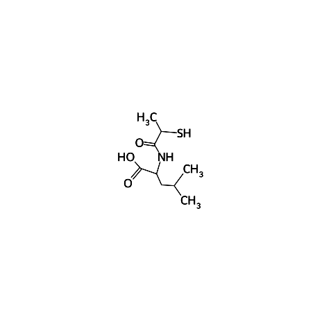 CC(C)CC(NC(=O)C(C)S)C(=O)O